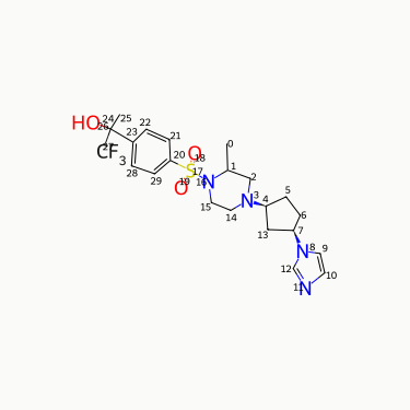 CC1CN([C@H]2CC[C@@H](n3ccnc3)C2)CCN1S(=O)(=O)c1ccc(C(C)(O)C(F)(F)F)cc1